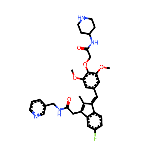 COc1cc(C=C2C(C)=C(CC(=O)NCc3cccnc3)c3cc(F)ccc32)cc(OC)c1OCC(=O)NC1CCNCC1